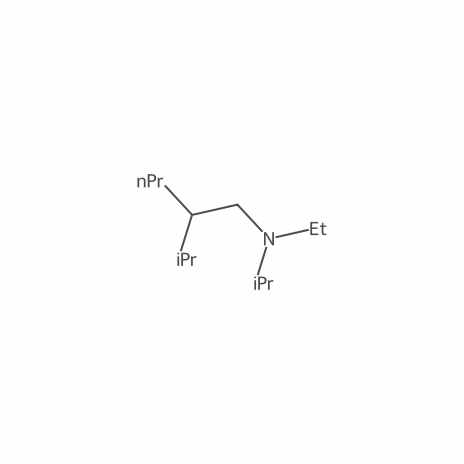 CCCC(CN(CC)C(C)C)C(C)C